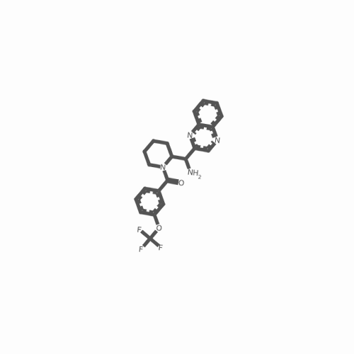 NC(c1cnc2ccccc2n1)C1CCCCN1C(=O)c1cccc(OC(F)(F)F)c1